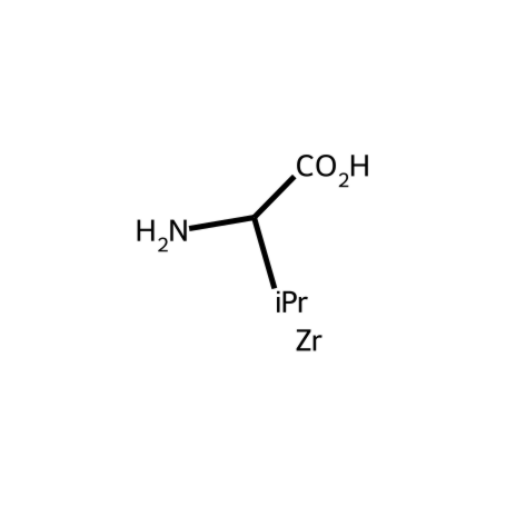 CC(C)C(N)C(=O)O.[Zr]